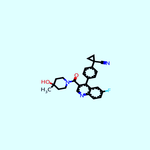 CC1(O)CCN(C(=O)c2cnc3ccc(F)cc3c2-c2ccc(C3(C#N)CC3)cc2)CC1